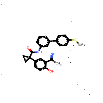 CNSc1ccc(-c2cccc(NC(=O)C3(c4ccc(O)c(C(C)=N)c4)CC3)c2)cc1